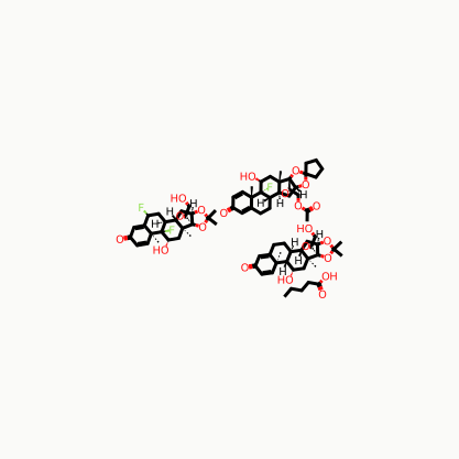 CC(=O)OCC(=O)[C@@]12OC3(CCCC3)O[C@@H]1C[C@H]1[C@@H]3CCC4=CC(=O)C=C[C@]4(C)[C@@]3(F)[C@@H](O)C[C@@]12C.CC1(C)O[C@@H]2C[C@H]3[C@@H]4CCC5=CC(=O)C=C[C@]5(C)[C@H]4[C@@H](O)C[C@]3(C)[C@]2(C(=O)CO)O1.CC1(C)O[C@@H]2C[C@H]3[C@@H]4C[C@H](F)C5=CC(=O)C=C[C@]5(C)[C@@]4(F)[C@@H](O)C[C@]3(C)[C@]2(C(=O)CO)O1.CCCCC(=O)O